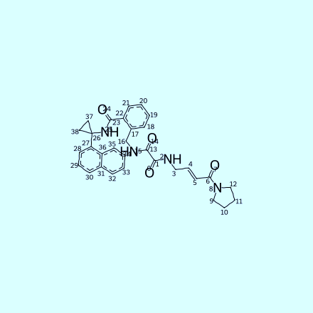 O=C(NC/C=C/C(=O)N1CCCC1)C(=O)NCc1ccccc1C(=O)NC1(c2cccc3ccccc23)CC1